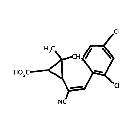 CC1(C)C(C(=O)O)C1C(C#N)=Cc1ccc(Cl)cc1Cl